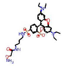 CCN(CC)c1ccc2c(-c3ccc(S(=O)(=O)NCCCCNC(=O)CON)cc3S(=O)(=O)[O-])c3ccc(=[N+](CC)CC)cc-3oc2c1